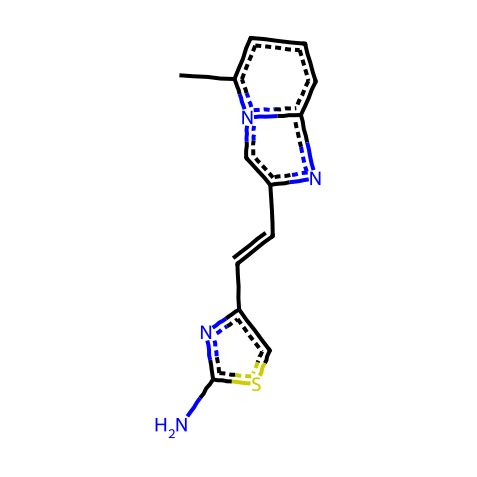 Cc1cccc2nc(/C=C/c3csc(N)n3)cn12